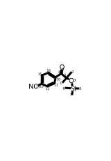 CC(C)(O[Si](C)(C)C)C(=O)c1ccc(C#N)cc1